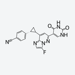 N#Cc1ccc([C@@H]2CC2c2cc(-c3c[nH]c(=O)[nH]c3=O)nn3c(F)cnc23)cc1